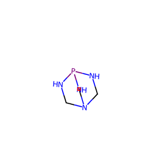 C1NP2NCN1CN2